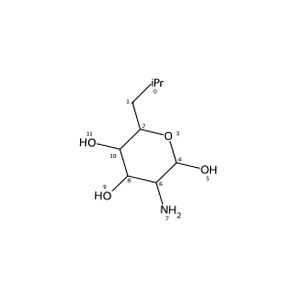 CC(C)CC1OC(O)C(N)C(O)C1O